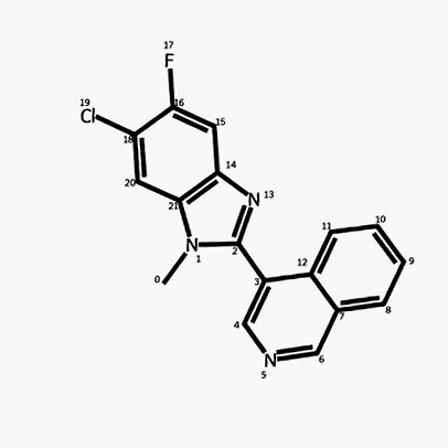 Cn1c(-c2cncc3ccccc23)nc2cc(F)c(Cl)cc21